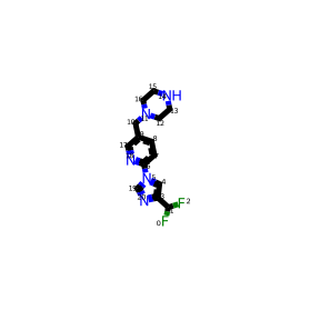 FC(F)c1cn(-c2ccc(CN3CCNCC3)cn2)cn1